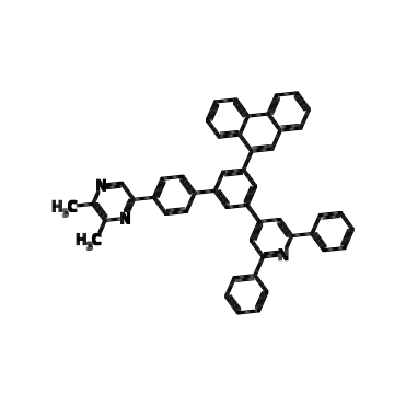 Cc1ncc(-c2ccc(-c3cc(-c4cc(-c5ccccc5)nc(-c5ccccc5)c4)cc(-c4cc5ccccc5c5ccccc45)c3)cc2)nc1C